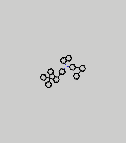 c1ccc(-c2ccccc2-c2ccc(N(c3ccc(-c4cccc5c4-c4ccccc4C5(c4ccccc4)c4ccccc4)cc3)c3cccc4ccccc34)cc2)cc1